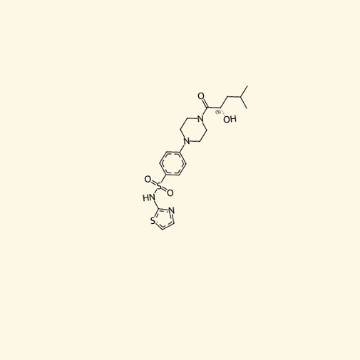 CC(C)C[C@H](O)C(=O)N1CCN(c2ccc(S(=O)(=O)Nc3nccs3)cc2)CC1